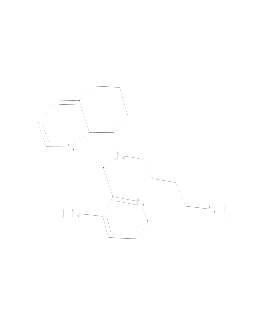 NCCCCN(Cc1ncccc1N)[C@H]1CCCc2cccnc21